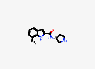 Cc1cccc2cc(C(=O)N[C@@H]3CCNC3)[nH]c12